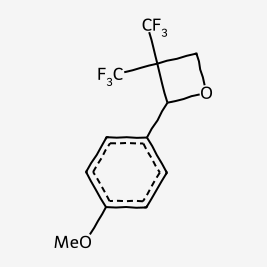 COc1ccc(C2OCC2(C(F)(F)F)C(F)(F)F)cc1